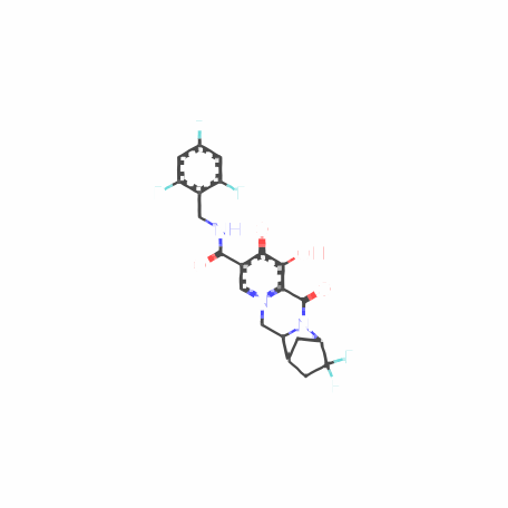 O=C(NCc1c(F)cc(F)cc1F)c1cn2c(c(O)c1=O)C(=O)N1C(C2)C2CC1C(F)(F)C2